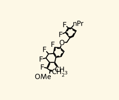 C=C(OC)/C(F)=C1\C(=C/C)c2ccc(OCc3ccc(CCC)c(F)c3F)c(F)c2C(F)C1F